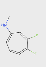 CNC1=CC=C=C(F)C(F)=C1